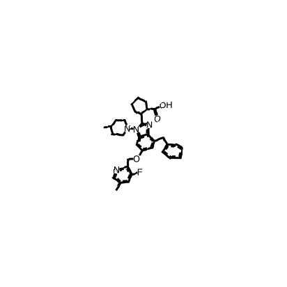 Cc1cnc(COc2cc(Cc3ccccc3)c3nc(C4CCCCC4C(=O)O)n(N4CCC(C)CC4)c3c2)c(F)c1